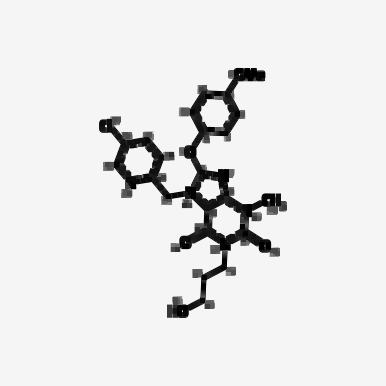 COc1ccc(Oc2nc3c(c(=O)n(CCCO)c(=O)n3C)n2Cc2ccc(Cl)cn2)cc1